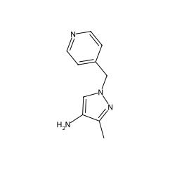 Cc1nn(Cc2ccncc2)cc1N